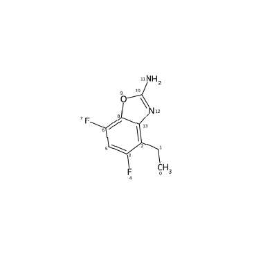 CCc1c(F)cc(F)c2oc(N)nc12